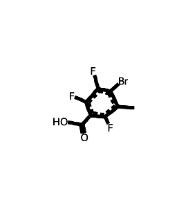 Cc1c(F)c(C(=O)O)c(F)c(F)c1Br